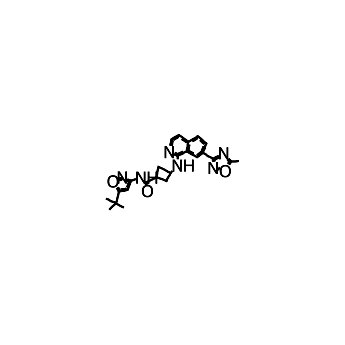 Cc1nc(-c2ccc3ccnc(NC4CC(C(=O)Nc5cc(C(C)(C)C)on5)C4)c3c2)no1